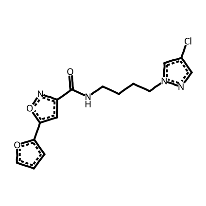 O=C(NCCCCn1cc(Cl)cn1)c1cc(-c2ccco2)on1